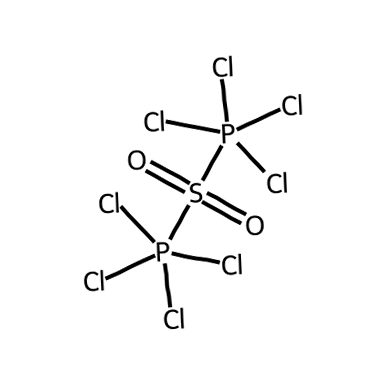 O=S(=O)(P(Cl)(Cl)(Cl)Cl)P(Cl)(Cl)(Cl)Cl